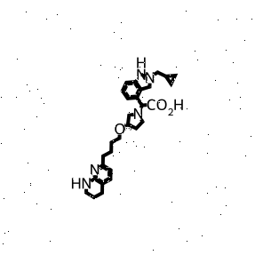 O=C(O)C(c1cccc2c1CN(CC1CC1)N2)N1CC[C@@H](OCCCCc2ccc3c(n2)NCCC3)C1